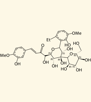 CCc1ccc(OC)c(O)c1C1O[C@H](C(O)C(=O)C=Cc2ccc(OC)c(O)c2)[C@@H](O)[C@@](O)(C2O[C@H](CO)[C@@H](O)[C@H](O)[C@H]2O)[C@H]1O